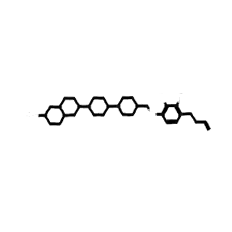 C=CCCc1ccc(OCC2CCC(C3CCC(C4CCC5CC(CCC)CCC5C4)CC3)CC2)c(F)c1F